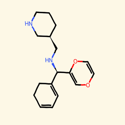 C1=CCCC([C@@H](NC[C@@H]2CCCNC2)C2=COC=CO2)=C1